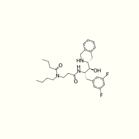 CCCCN(CCC(=O)N[C@@H](Cc1cc(F)cc(F)c1)[C@H](O)[C@H]1Cc2ccccc2CN1)C(=O)CCC